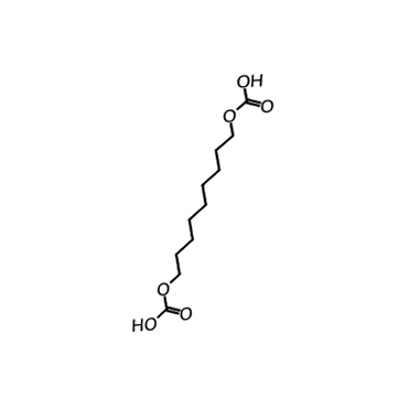 O=C(O)OCCCCCCCCCOC(=O)O